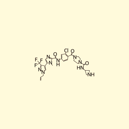 C=CCn1cc(-c2cnc(C(=O)Nc3ccc(C(=O)N4CCN(C(=O)NC5CNC5)CC4)c(Cl)c3)n2C)c(C(F)(F)F)n1